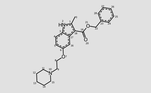 Cc1[nH]c2ccc(OCCN3CCCCC3)cc2c1C(=O)OCc1ccccc1